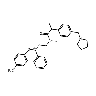 CC(C(=O)N(C)CC[C@@H](Oc1ccc(C(F)(F)F)cc1)c1ccccc1)c1ccc(CN2CCCC2)cc1